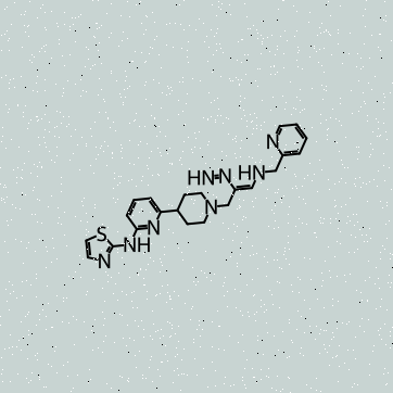 N=N/C(=C\NCc1ccccn1)CN1CCC(c2cccc(Nc3nccs3)n2)CC1